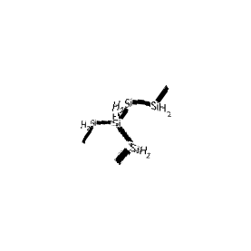 C[SiH2][SiH2][SiH]([SiH2]C)[SiH2]C